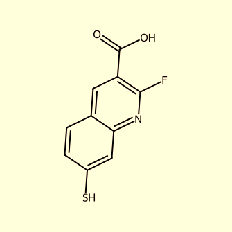 O=C(O)c1cc2ccc(S)cc2nc1F